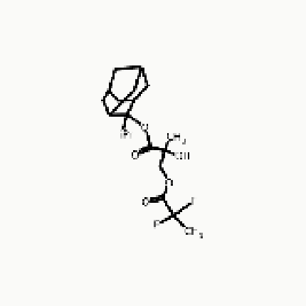 CC(C)C1(OC(=O)C(C)(O)COC(=O)C(C)(F)F)C2CC3CC(C2)CC1C3